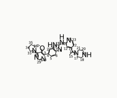 COc1c(-c2ccc3nc(Nc4cc(C(C)N5CCNCC5)ccn4)[nH]c3c2)ncnc1N1CCCC1